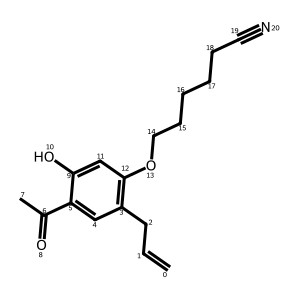 C=CCc1cc(C(C)=O)c(O)cc1OCCCCCC#N